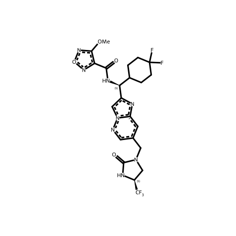 COc1nonc1C(=O)N[C@H](c1cn2ncc(CN3C[C@@H](C(F)(F)F)NC3=O)cc2n1)C1CCC(F)(F)CC1